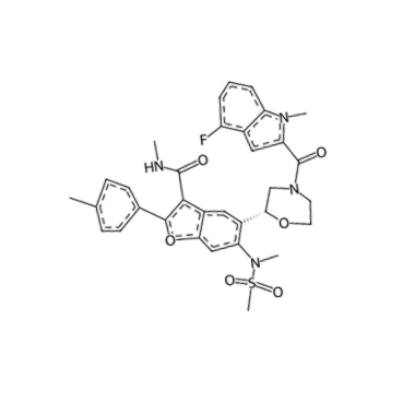 CNC(=O)c1c(-c2ccc(C)cc2)oc2cc(N(C)S(C)(=O)=O)c([C@@H]3CN(C(=O)c4cc5c(F)cccc5n4C)CCO3)cc12